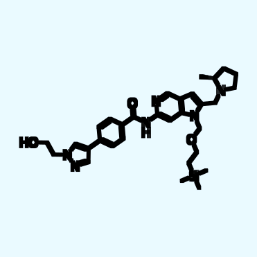 C[C@H]1CCCN1Cc1cc2cnc(NC(=O)c3ccc(-c4cnn(CCO)c4)cc3)cc2n1COCC[Si](C)(C)C